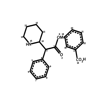 COC(=O)C(c1ccccc1)C1CCCCN1.O=C(O)c1ccccc1